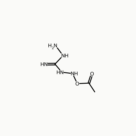 CC(=O)ONNC(=N)NN